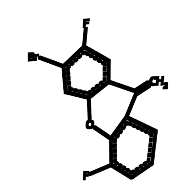 C=C1c2cc(F)c(Br)cc2Oc2c(F)cccc21